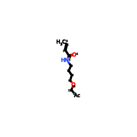 C/C=C/C(=O)NCCCCOCC(C)=O